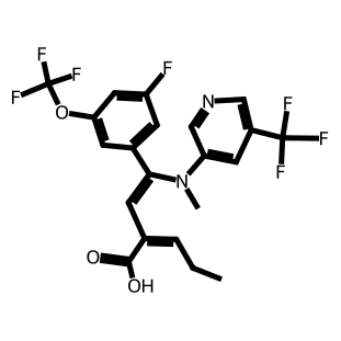 CC/C=C(/C=C(/c1cc(F)cc(OC(F)(F)F)c1)N(C)c1cncc(C(F)(F)F)c1)C(=O)O